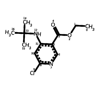 CCOC(=O)c1cnc(Cl)cc1NC(C)(C)C